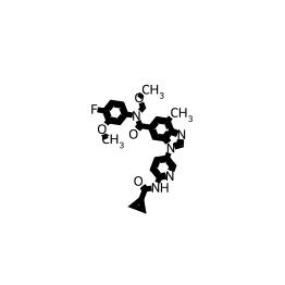 COCN(C(=O)c1cc(C)c2ncn(-c3ccc(NC(=O)C4CC4)nc3)c2c1)c1ccc(F)c(OC)c1